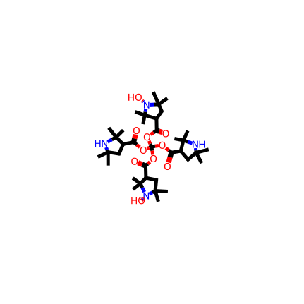 CC1(C)CC(C(=O)OC(OC(=O)C2CC(C)(C)NC2(C)C)(OC(=O)C2CC(C)(C)N(O)C2(C)C)OC(=O)C2CC(C)(C)N(O)C2(C)C)C(C)(C)N1